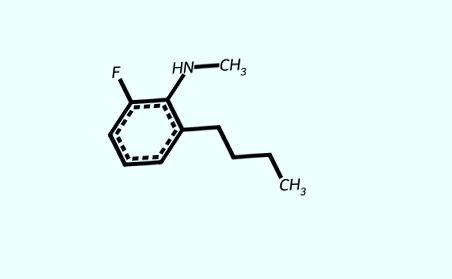 CCCCc1cccc(F)c1NC